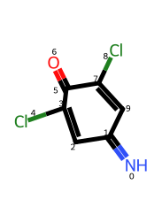 N=C1C=C(Cl)C(=O)C(Cl)=C1